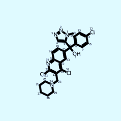 Cn1nncc1C(O)(c1ccc(Cl)cc1)c1ccc2nc(Cl)c(CN3CCCCC3)c(Cl)c2c1